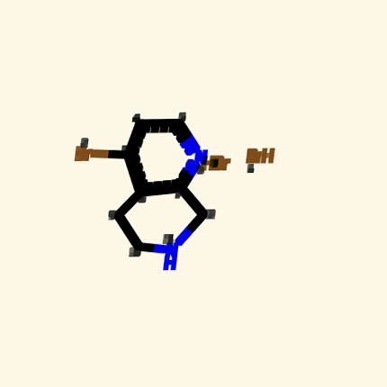 Br.Br.Brc1ccnc2c1CCNC2